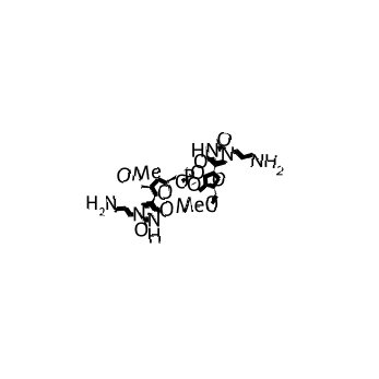 COC[C@H]1O[C@@H](c2cn(CCCN)c(=O)[nH]c2=O)[C@@H](OP(C)(=O)OC[C@H]2O[C@@H](c3cn(CCCN)c(=O)[nH]c3=O)[C@@H](C)C2OC)C1C